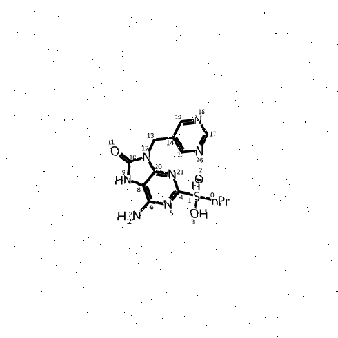 CCC[SH](=O)(O)c1nc(N)c2[nH]c(=O)n(Cc3cncnc3)c2n1